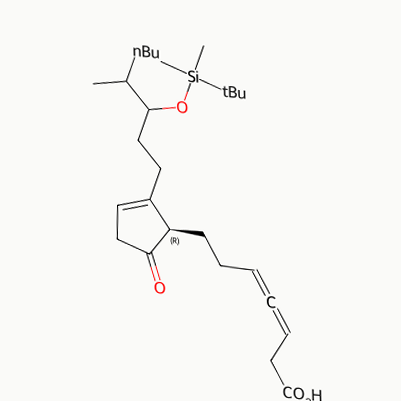 CCCCC(C)C(CCC1=CCC(=O)[C@@H]1CCC=C=CCC(=O)O)O[Si](C)(C)C(C)(C)C